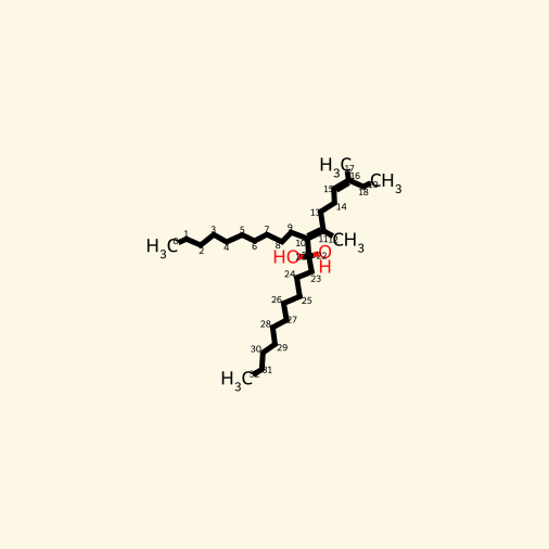 CCCCCCCCCCC(=C(C)CCC=C(C)CC)C(O)(O)CCCCCCCCCC